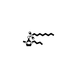 CCCCCCCCS(=O)(=O)OC1N(C)C=CN1CCCC